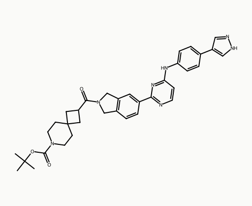 CC(C)(C)OC(=O)N1CCC2(CC1)CC(C(=O)N1Cc3ccc(-c4nccc(Nc5ccc(-c6cn[nH]c6)cc5)n4)cc3C1)C2